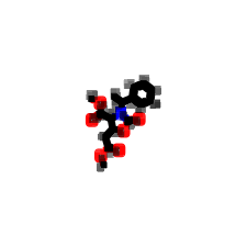 COC(=O)CC1OC(=O)N(C(C)c2ccccc2)C1C(=O)OC